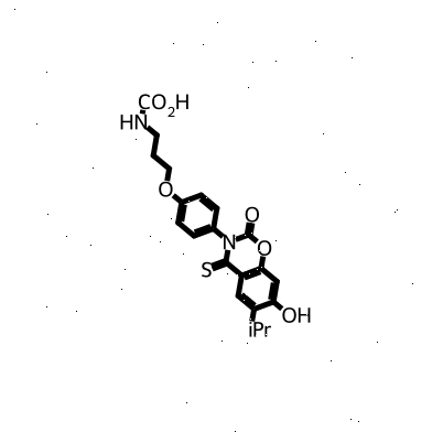 CC(C)c1cc2c(=S)n(-c3ccc(OCCCNC(=O)O)cc3)c(=O)oc2cc1O